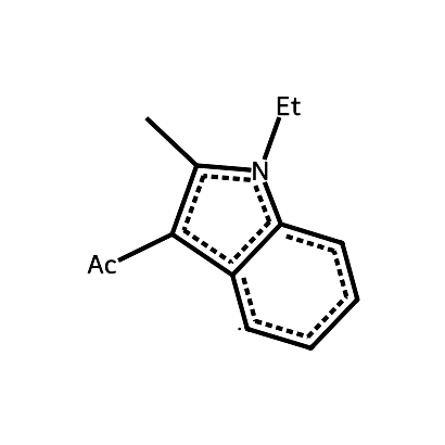 CCn1c(C)c(C(C)=O)c2[c]cccc21